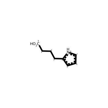 O=C(O)CCCc1ccc[nH]1